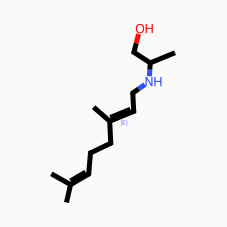 CC(C)=CCC/C(C)=C/CNC(C)CO